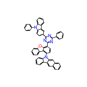 c1ccc(-c2nc(-c3ccc4c(c3)c3ccccc3n4-c3ccccc3)nc(-c3ccc(-n4c5ccccc5c5cc6ccccc6cc54)c4c3oc3ccccc34)n2)cc1